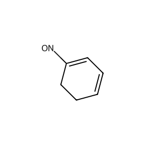 O=NC1=CC=CCC1